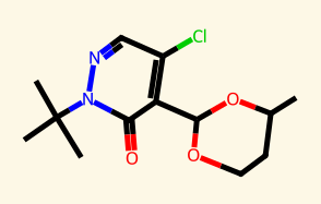 CC1CCOC(c2c(Cl)cnn(C(C)(C)C)c2=O)O1